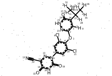 [2H]c1c(Oc2c(Cl)cc(-n3nc(C#N)c(=O)[nH]c3=O)cc2Cl)n[nH]c(=O)c1C([2H])(C([2H])([2H])[2H])C([2H])([2H])[2H]